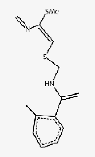 C=N/C(=C\SCNC(=C)c1ccccc1C)SC